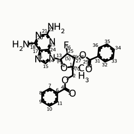 C[C@]1(COC(=O)c2ccccc2)O[C@@H](n2cnc3c(N)nc(N)nc32)[C@@H](F)[C@@H]1OC(=O)c1ccccc1